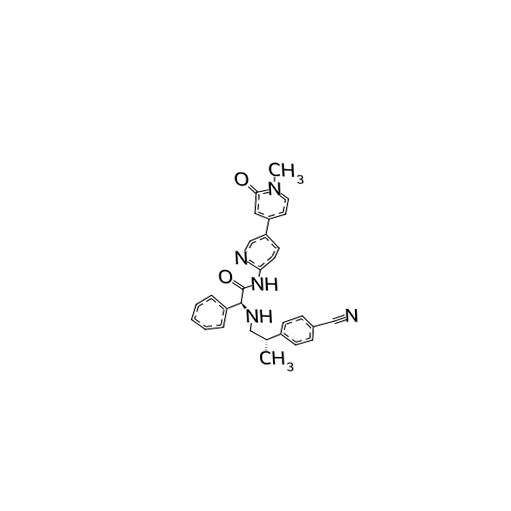 C[C@H](CN[C@H](C(=O)Nc1ccc(-c2ccn(C)c(=O)c2)cn1)c1ccccc1)c1ccc(C#N)cc1